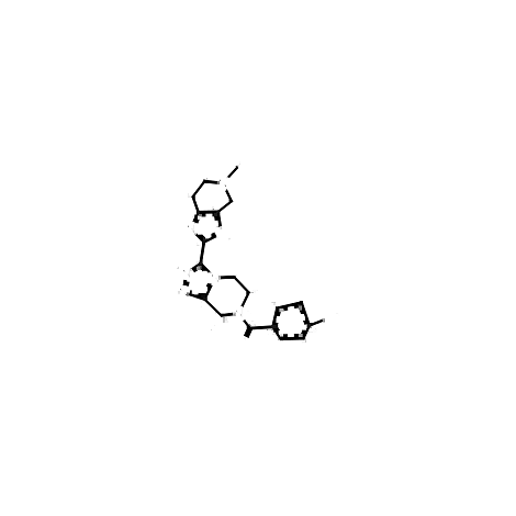 C[C@@H]1c2nnc(-c3nc4c(s3)CN(C)CC4)n2CCN1C(=O)c1ccc(F)cc1